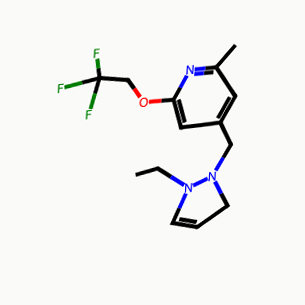 CCN1C=CCN1Cc1cc(C)nc(OCC(F)(F)F)c1